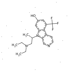 CCN(CC)CC(C)n1c2cnccc2c2c(C(F)(F)F)cc(O)cc21